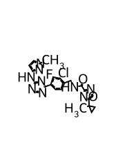 Cn1ccc(Nc2ncnc(-c3ccc(CNC(=O)c4noc(C5(C)CC5)n4)c(Cl)c3F)n2)n1